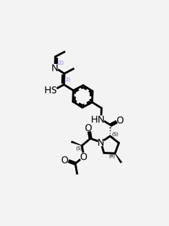 C/C=N\C(C)=C(/S)c1ccc(CNC(=O)[C@@H]2C[C@@H](C)CN2C(=O)[C@H](C)OC(C)=O)cc1